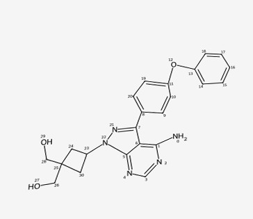 Nc1ncnc2c1c(-c1ccc(Oc3ccccc3)cc1)nn2C1CC(CO)(CO)C1